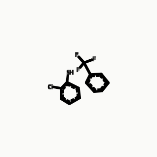 FC(F)(F)c1ccccc1.Sc1ccccc1Cl